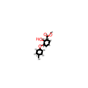 COC(=O)c1cccc(Oc2ccc(C)cc2)c1O